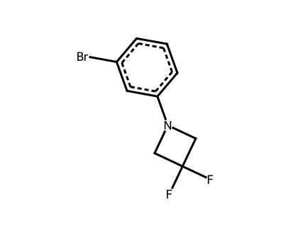 FC1(F)CN(c2cccc(Br)c2)C1